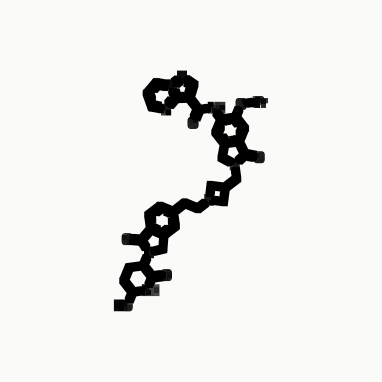 CC(C)Oc1cc2c(cc1NC(=O)c1cnn3cccnc13)CN(CC1CN(CCc3ccc4c(c3)CN(C3CCC(O)NC3=O)C4=O)C1)C2=O